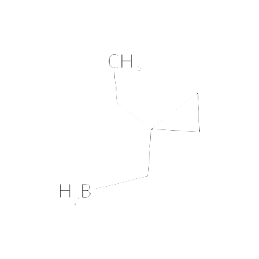 BCC1(CC)CC1